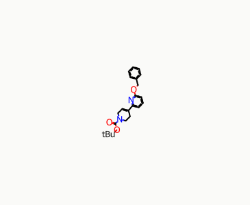 CC(C)(C)OC(=O)N1CC=C(c2cccc(OCc3ccccc3)n2)CC1